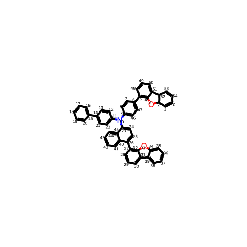 C1=CC2Oc3c(-c4ccc(N(c5ccc(-c6ccccc6)cc5)c5ccc(-c6cccc7c6oc6ccccc67)c6ccccc56)cc4)cccc3C2C=C1